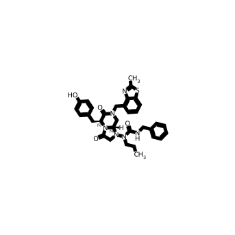 CCCN(C(=O)NCc1ccccc1)N1CC(=O)N2[C@@H](Cc3ccc(O)cc3)C(=O)N(Cc3cccc4sc(C)nc34)C[C@@H]21